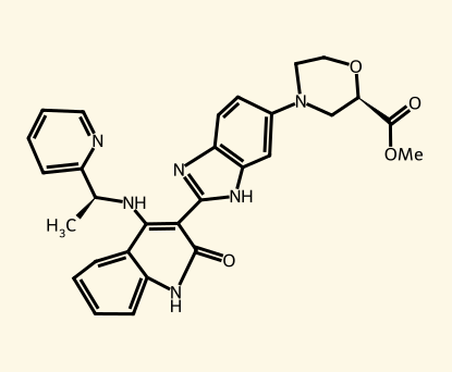 COC(=O)[C@H]1CN(c2ccc3nc(-c4c(N[C@@H](C)c5ccccn5)c5ccccc5[nH]c4=O)[nH]c3c2)CCO1